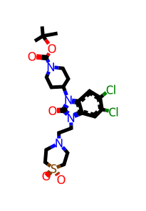 CC(C)(C)OC(=O)N1CCC(n2c(=O)n(CCN3CCS(=O)(=O)CC3)c3cc(Cl)c(Cl)cc32)CC1